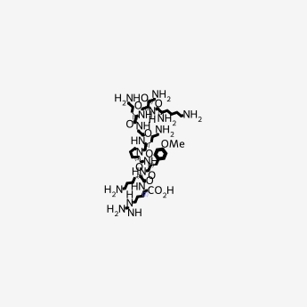 COc1ccc(C[C@H](NC(=O)[C@@H]2CCCN2C(=O)[C@@H](CCCN)NC(=O)CNC(=O)[C@H](CCCN)NC(=O)[C@@H](NC(=O)[C@@H](N)CCCCN)[C@@H](O)CN)C(=O)N[C@@H](CCCCN)C(=O)N/C(=C\CCNC(=N)N)C(=O)O)cc1